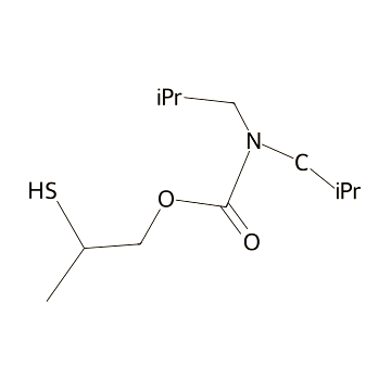 CC(C)CN(CC(C)C)C(=O)OCC(C)S